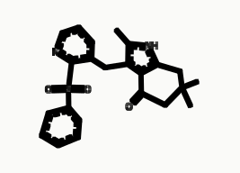 Cc1[nH]c2c(c1Cc1cccnc1S(=O)(=O)c1ccccc1)C(=O)CC(C)(C)C2